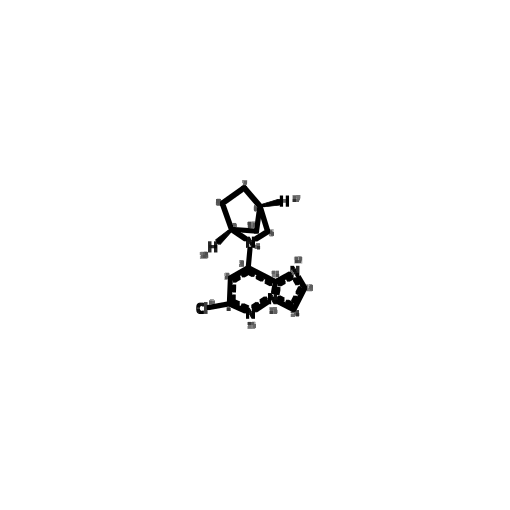 Clc1cc(N2C[C@H]3CC[C@@H]2C3)c2nccn2n1